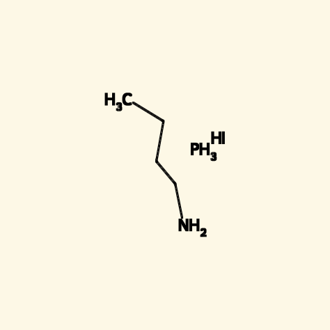 CCCCN.I.P